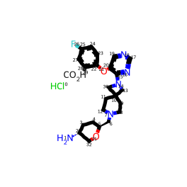 Cl.N[C@@H]1CC[C@@H](CN2CCC3(CC2)CN(c2ncncc2Oc2ccc(F)cc2C(=O)O)C3)OC1